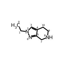 CCn1cc2c(n1)CNCC2